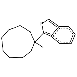 CC1(C2=c3ccccc3=C[P]2)CCCCCCCC1